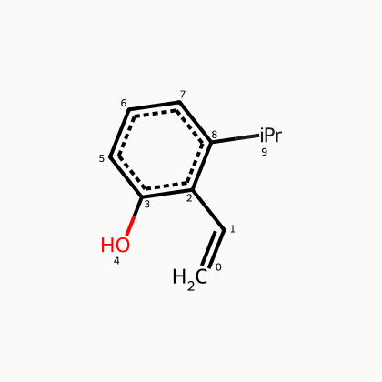 C=Cc1c(O)cccc1C(C)C